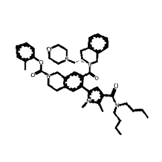 CCCCN(CCCC)C(=O)c1cc(-c2cc3c(cc2C(=O)N2Cc4ccccc4C[C@H]2CN2CCOCC2)CN(C(=O)Oc2ccccc2C)CC3)n(C)c1C